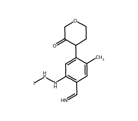 Cc1cc(C=N)c(NPI)cc1C1CCOCC1=O